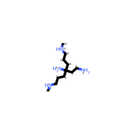 CNCCCC(N)(CCN)CCCNC